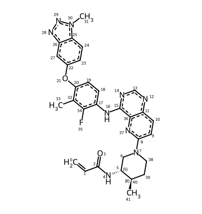 C=CC(=O)N[C@@H]1CN(c2ccc3ncnc(Nc4ccc(Oc5ccc6c(c5)nnn6C)c(C)c4F)c3n2)CC[C@H]1C